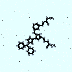 COC(=O)/C=C/c1cccc(Cc2sc(/C=C/OC(C)=O)cc2-c2nnn(C(c3ccccc3)c3ccccc3)n2)c1